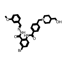 COc1cccc(/C=N/NC(=O)c2cc(Br)ccc2NC(=O)c2ccc(CN3CCC(CO)CC3)cc2)c1